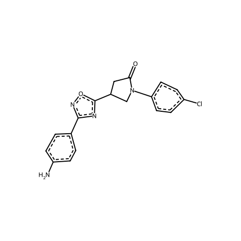 Nc1ccc(-c2noc(C3CC(=O)N(c4ccc(Cl)cc4)C3)n2)cc1